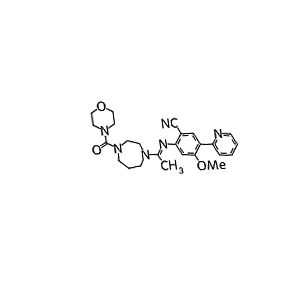 COc1cc(N=C(C)N2CCCN(C(=O)N3CCOCC3)CC2)c(C#N)cc1-c1ccccn1